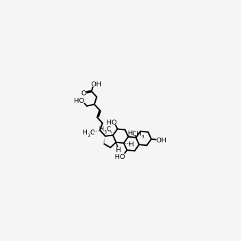 C[C@H](CC=CC(CO)CC(=O)O)[C@H]1CC[C@H]2[C@@H]3C(O)CC4CC(O)CC[C@]4(C)[C@H]3CC(O)[C@]12C